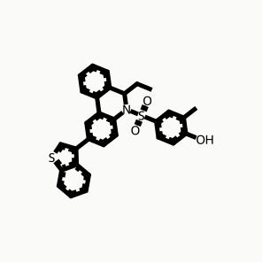 CCC1c2ccccc2-c2cc(-c3csc4ccccc34)ccc2N1S(=O)(=O)c1ccc(O)c(C)c1